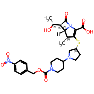 C[C@@H](O)[C@H]1C(=O)N2C(C(=O)O)=C(S[C@@H]3CCN(C4CCN(C(=O)OCc5ccc([N+](=O)[O-])cc5)CC4)C3)[C@H](C)[C@H]12